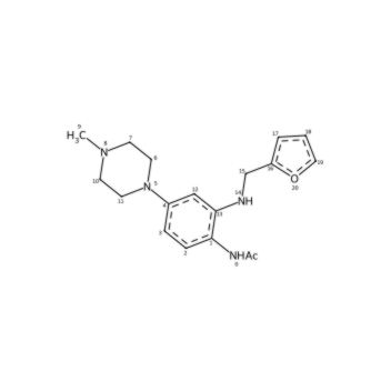 CC(=O)Nc1ccc(N2CCN(C)CC2)cc1NCc1ccco1